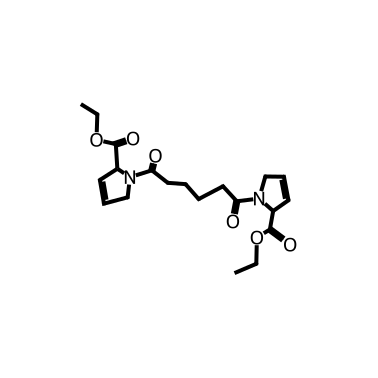 CCOC(=O)C1C=CCN1C(=O)CCCCC(=O)N1CC=CC1C(=O)OCC